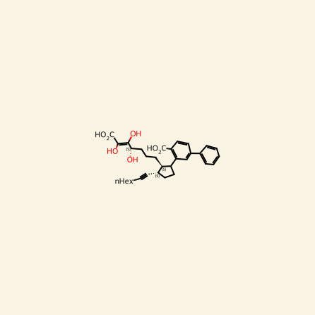 CCCCCCC#C[C@H]1CCC(c2cc(-c3ccccc3)ccc2C(=O)O)[C@@H]1CCC[C@H](O)C(O)=C(O)C(=O)O